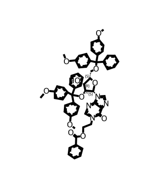 COc1ccc(C(OC[C@@H]2O[C@H](n3cnc4c(=O)n(CCOC(=O)c5ccccc5)cnc43)[C@@H](OC(c3ccccc3)(c3ccc(OC)cc3)c3ccc(OC)cc3)[C@@H]2O)(c2ccccc2)c2ccc(OC)cc2)cc1